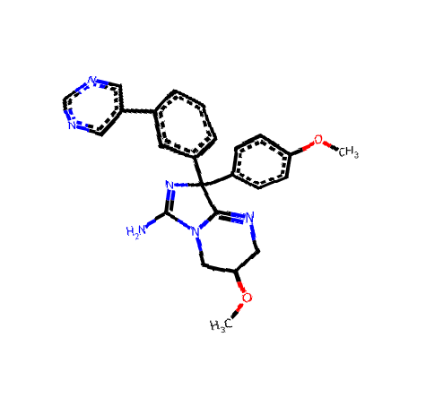 COc1ccc(C2(c3cccc(-c4cncnc4)c3)N=C(N)N3CC(OC)CN=C32)cc1